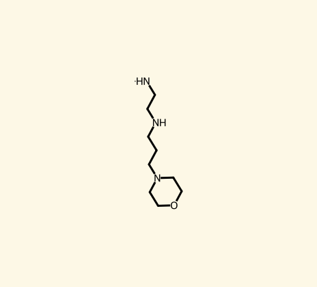 [NH]CCNCCCN1CCOCC1